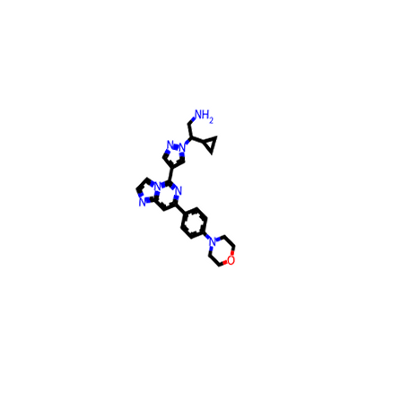 NCC(C1CC1)n1cc(-c2nc(-c3ccc(N4CCOCC4)cc3)cc3nccn23)cn1